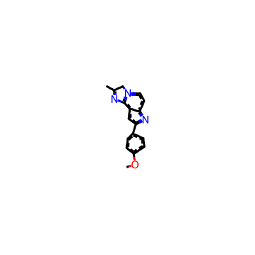 COc1ccc(-c2cc3c4n(ccc-3n2)CC(C)=N4)cc1